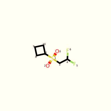 O=S(=O)(CC(F)F)[C]1CCC1